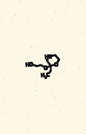 CCC1(OCCO)CNCCO1